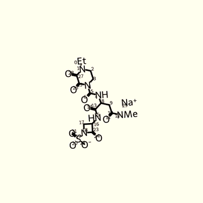 CCN1CCN(C(=O)NC(CC(=O)NC)C(=O)NC2CN(S(=O)(=O)[O-])C2=O)C(=O)C1=O.[Na+]